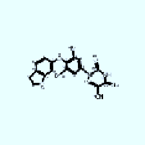 N#Cc1nn(-c2cc(Br)c(Oc3ccc4c(c3)OCC4)c(Br)c2)c(=O)[nH]c1=O